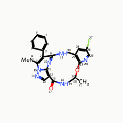 CNc1c(-c2ccccc2)c2nc3c(cnn13)C(=O)NC[C@H](C)Oc1ncc(F)cc1CN2